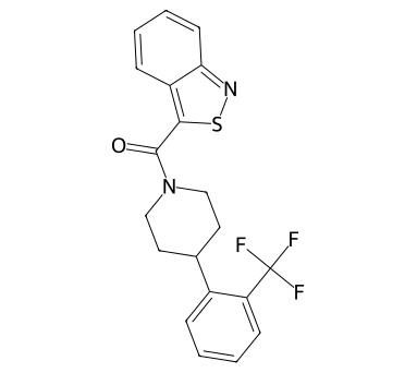 O=C(c1snc2ccccc12)N1CCC(c2ccccc2C(F)(F)F)CC1